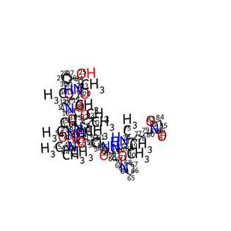 CC[C@H](C)[C@@H]([C@@H](CC(=O)N1CCC[C@H]1[C@H](OC)[C@@H](C)C(=O)N[C@H](C)[C@@H](O)c1ccccc1)OC)N(C)C(=O)[C@@H](NC(=O)[C@H](C(C)C)N(C)C(=O)OCc1ccc(NC(=O)[C@H](CCCN2CCCCC2)NC(=O)[C@@H](N[C@@H](C)CCCCCN2C(=O)C=CC2=O)C(C)C)cc1)C(C)C